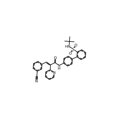 CC(C)(C)NS(=O)(=O)c1ccccc1-c1ccc(NC(=O)C(=Cc2cccc(C#N)c2)c2ccccn2)cc1